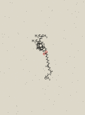 CCCCCC1CC1CCC1CC1CCCCCCCC(=O)OC1CC[C@@]2(C)C(=CC[C@H]3[C@@H]4CC[C@H]([C@H](C)CCCC(C)C)[C@@]4(C)CC[C@@H]32)C1